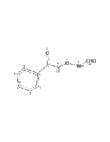 O=CNONC(=O)c1ccccc1